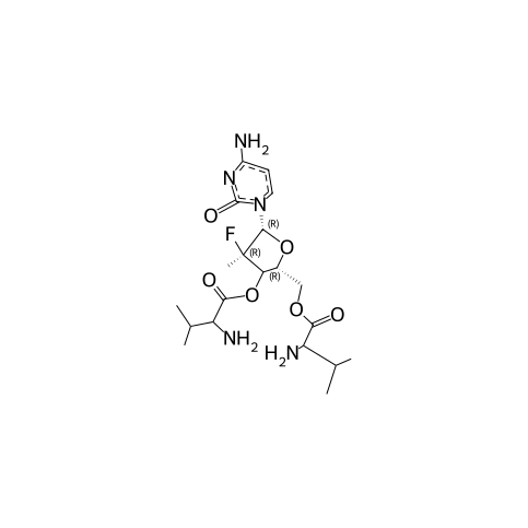 CC(C)C(N)C(=O)OC[C@H]1O[C@@H](n2ccc(N)nc2=O)[C@](C)(F)C1OC(=O)C(N)C(C)C